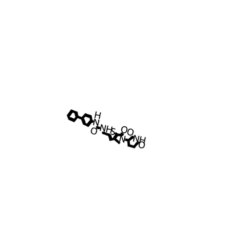 O=C1CCC(N2Cc3cc(CNC(=O)Nc4ccc(-c5ccccc5)cc4)sc3C2=O)C(=O)N1